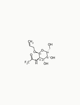 C=CCO[C@H]1O[C@H](CO)[C@H](O)[C@H](O)[C@H]1NC(=O)C(F)(F)F